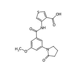 COc1cc(C(=O)Nc2cscc2C(=O)O)cc(N2CCCC2=O)c1